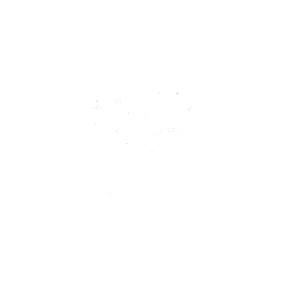 O=C(c1ccccc1)c1c[nH]nc1-c1ccc(F)cc1